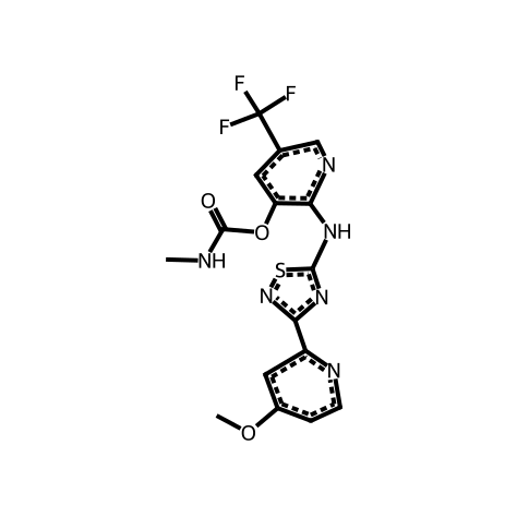 CNC(=O)Oc1cc(C(F)(F)F)cnc1Nc1nc(-c2cc(OC)ccn2)ns1